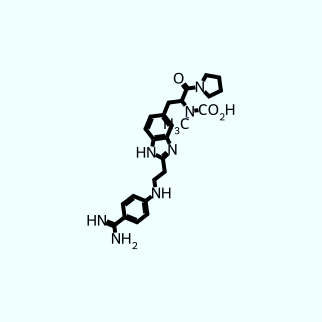 CN(C(=O)O)C(Cc1ccc2[nH]c(CCNc3ccc(C(=N)N)cc3)nc2c1)C(=O)N1CCCC1